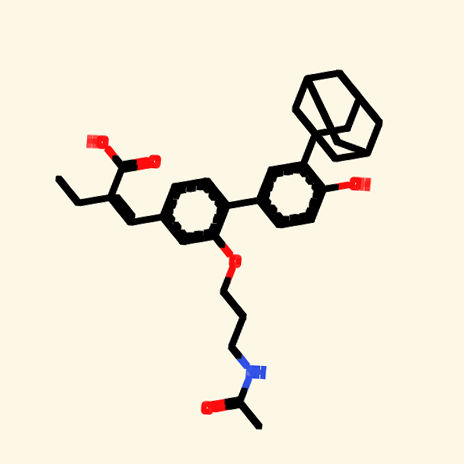 CCC(=Cc1ccc(-c2ccc(O)c(C34CC5CC(CC(C5)C3)C4)c2)c(OCCCNC(C)=O)c1)C(=O)O